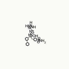 NS(=O)(=O)c1ccc(Cc2c(-c3cccc(-c4ccccc4)c3)nn(-c3nc(C4=NNNN4)cs3)c2O)cc1